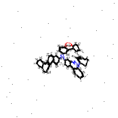 c1ccc(-n2c3ccccc3c3ccc(N(c4ccc5c(ccc6c7ccccc7ccc56)c4)c4ccc5oc6ccccc6c5c4)cc32)cc1